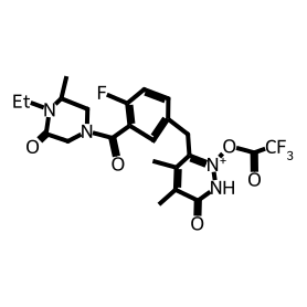 CCN1C(=O)CN(C(=O)c2cc(Cc3c(C)c(C)c(=O)[nH][n+]3OC(=O)C(F)(F)F)ccc2F)CC1C